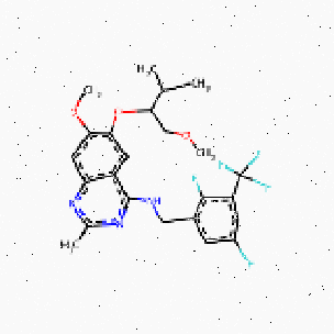 COCC(Oc1cc2c(NCc3cc(F)cc(C(F)(F)F)c3F)nc(C)nc2cc1OC)C(C)C